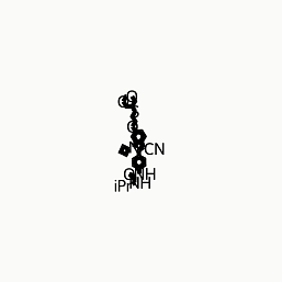 CC(C)NC(=O)Nc1ccc(-c2c(C#N)c3ccc(OCCSC4COCOC4)cc3n2C2CCC2)cc1